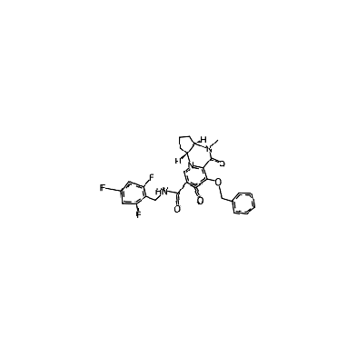 CN1C(=O)c2c(OCc3ccccc3)c(=O)c(C(=O)NCc3c(F)cc(F)cc3F)cn2[C@@H]2CCC[C@@H]21